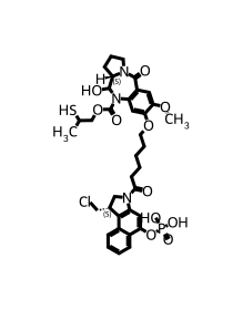 COc1cc2c(cc1OCCCCCC(=O)N1C[C@@H](CCl)c3c1cc(OP(=O)(O)O)c1ccccc31)N(C(=O)OCC(C)S)C(O)[C@@H]1CCCN1C2=O